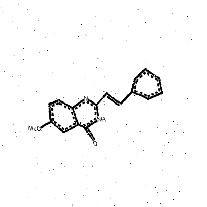 COc1ccc2nc(/C=C/c3ccccc3)[nH]c(=O)c2c1